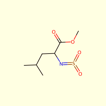 COC(=O)C(CC(C)C)N=S(=O)=O